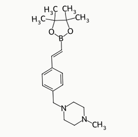 CN1CCN(Cc2ccc(C=CB3OC(C)(C)C(C)(C)O3)cc2)CC1